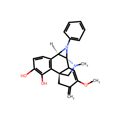 C=C1C[C@]23CN(C)[C@]4(C2C=C1OC)[C@@H](c1ccc(O)c(O)c13)N4c1ccccc1